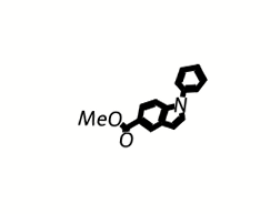 COC(=O)c1ccc2c(ccn2-c2ccccc2)c1